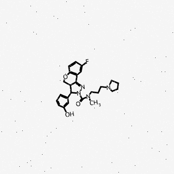 CN(CCCN1CCCC1)C(=O)N1N=C2c3cc(F)ccc3OCC2C1c1cccc(O)c1